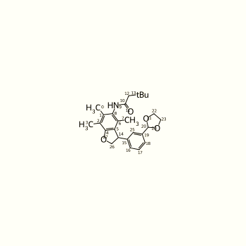 Cc1c(C)c2c(c(C)c1NC(=O)CC(C)(C)C)C(c1cccc(C3OCCO3)c1)CO2